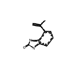 C=C(C)c1cccc2c1=NC(=O)N=2